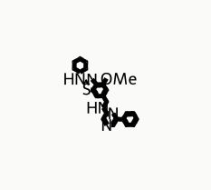 COc1cc(CNc2cncc(-c3ccccc3)n2)cc2sc(NC3CCCCC3)nc12